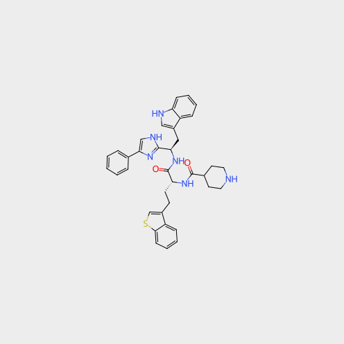 O=C(N[C@H](CCc1csc2ccccc12)C(=O)N[C@H](Cc1c[nH]c2ccccc12)c1nc(-c2ccccc2)c[nH]1)C1CCNCC1